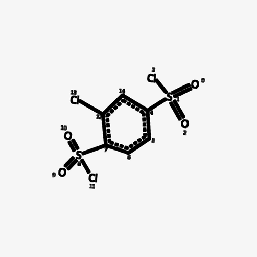 O=S(=O)(Cl)c1ccc(S(=O)(=O)Cl)c(Cl)c1